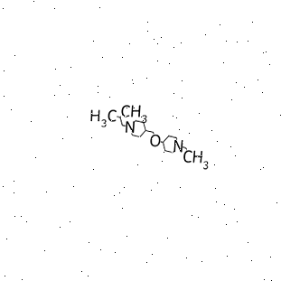 CCN1CCC(OCC2CCN(CC(C)C)CC2)CC1